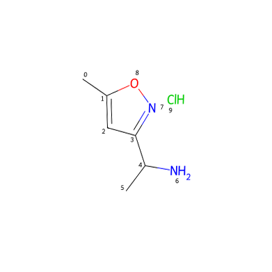 Cc1cc(C(C)N)no1.Cl